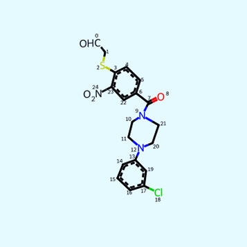 O=CCSc1ccc(C(=O)N2CCN(c3cccc(Cl)c3)CC2)cc1[N+](=O)[O-]